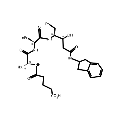 CCC[C@H](NC(=O)[C@@H](NC(=O)CCCC(=O)O)[C@@H](C)CC)C(=O)N[C@@H](CC(C)C)[C@@H](O)CC(=O)NC1Cc2ccccc2C1